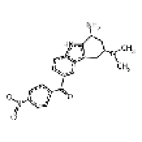 CN(C)C1Cc2c([nH]c3ccc(C(=O)c4ccc([N+](=O)[O-])cc4)cc23)C(N)C1